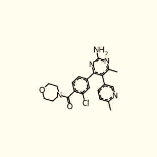 Cc1ccc(-c2c(C)nc(N)nc2-c2ccc(C(=O)N3CCOCC3)c(Cl)c2)cn1